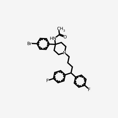 CC(=O)NC1(c2ccc(Br)cc2)CCN(CCCC(c2ccc(F)cc2)c2ccc(F)cc2)CC1